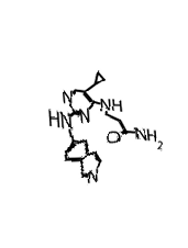 NC(=O)CCNc1nc(Nc2ccc3cnccc3c2)ncc1C1CC1